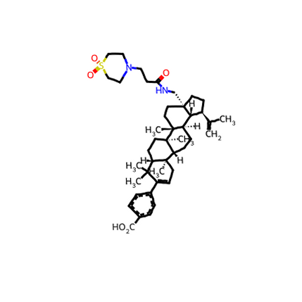 C=C(C)[C@@H]1CC[C@]2(CNC(=O)CCN3CCS(=O)(=O)CC3)CC[C@]3(C)[C@H](CC[C@@H]4[C@@]5(C)CC=C(c6ccc(C(=O)O)cc6)C(C)(C)[C@@H]5CC[C@]43C)[C@@H]12